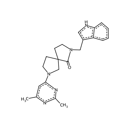 Cc1cc(N2CCC3(CCN(Cc4c[nH]c5ccccc45)C3=O)C2)nc(C)n1